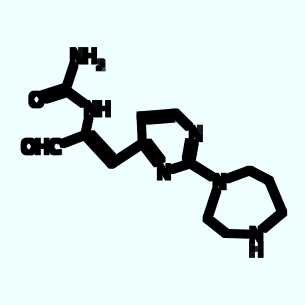 NC(=O)N/C(C=O)=C\c1ccnc(N2CCCNCC2)n1